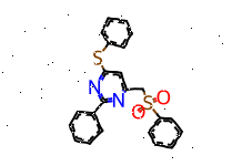 O=S(=O)(Cc1cc(Sc2ccccc2)nc(-c2ccccc2)n1)c1ccccc1